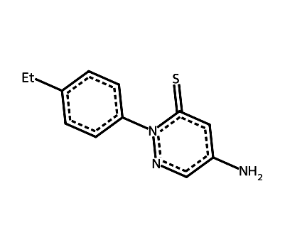 CCc1ccc(-n2ncc(N)cc2=S)cc1